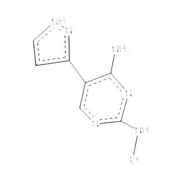 CCNc1ncc(-c2cc[nH]n2)c(N)n1